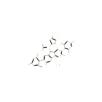 CCC1C=C(C(C)(C)C)C=[C]1[Zr+2](=[C](C)C)[CH]1c2cc(-c3c(C)cc(C)cc3C)c(C(C)(C)C)cc2-c2cc(C(C)(C)C)c(-c3c(C)cc(C)cc3C)cc21.[Cl-].[Cl-]